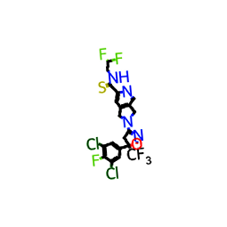 Fc1c(Cl)cc(C2(C(F)(F)F)CC(N3Cc4cnc(C(=S)NCC(F)F)cc4C3)=NO2)cc1Cl